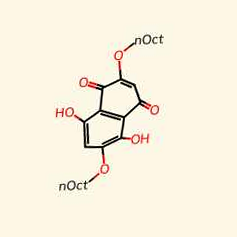 CCCCCCCCOC1=CC(=O)c2c(O)c(OCCCCCCCC)cc(O)c2C1=O